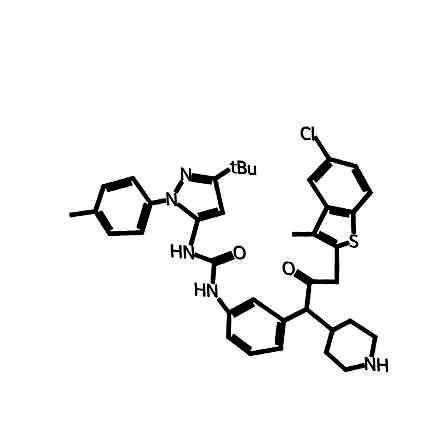 Cc1ccc(-n2nc(C(C)(C)C)cc2NC(=O)Nc2cccc(C(C(=O)Cc3sc4ccc(Cl)cc4c3C)C3CCNCC3)c2)cc1